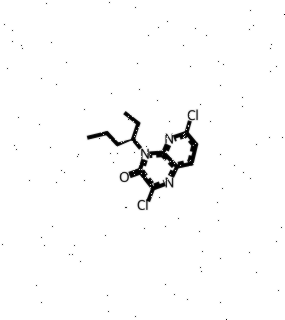 CCC[C@@H](CC)n1c(=O)c(Cl)nc2ccc(Cl)nc21